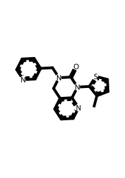 Cc1ccsc1N1C(=O)N(Cc2cccnc2)Cc2cccnc21